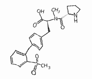 CN(C(=O)[C@@H]1CCCN1)[C@@H](Cc1ccc(-c2ccccc2S(C)(=O)=O)cc1)C(=O)O